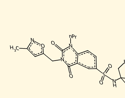 CCCn1c(=O)n(Cc2cc(C)no2)c(=O)c2cc(S(=O)(=O)NC3(CF)CC3)ccc21